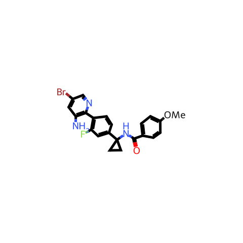 COc1ccc(C(=O)NC2(c3ccc(-c4ncc(Br)cc4N)c(F)c3)CC2)cc1